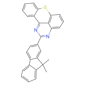 CC1(C)c2ccccc2-c2ccc(-c3nc4c5c(cccc5n3)Sc3ccccc3-4)cc21